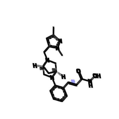 Cc1cc(CN2C[C@@H]3C[C@H]2CN3c2ccccc2/C=C/C(=O)NO)n(C)n1